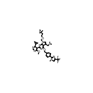 COc1ncnc(C2CC2)c1-c1nc(OCc2ccc(-c3nc(C(F)(F)F)cn3C)cc2)c2c(CN(C)C)cn(COCC[Si](C)(C)C)c2n1